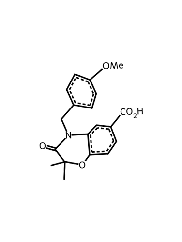 COc1ccc(CN2C(=O)C(C)(C)Oc3ccc(C(=O)O)cc32)cc1